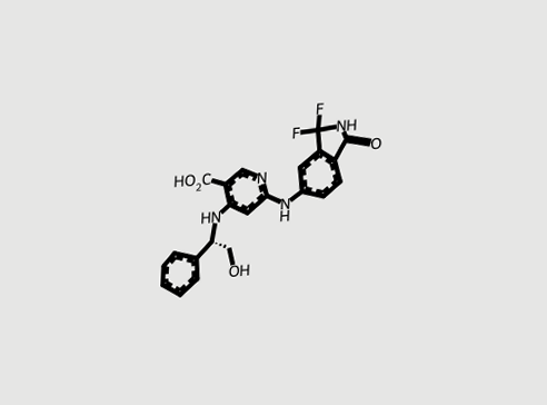 O=C(O)c1cnc(Nc2ccc3c(c2)C(F)(F)NC3=O)cc1N[C@H](CO)c1ccccc1